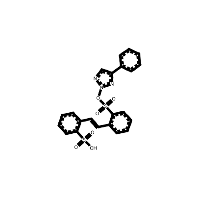 O=S(=O)(O)c1ccccc1C=Cc1ccccc1S(=O)(=O)On1ncc(-c2ccccc2)n1